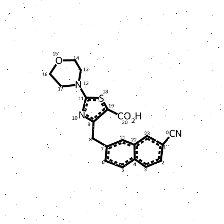 N#Cc1ccc2ccc(Cc3nc(N4CCOCC4)sc3C(=O)O)cc2c1